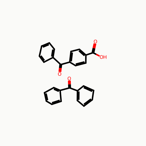 O=C(O)c1ccc(C(=O)c2ccccc2)cc1.O=C(c1ccccc1)c1ccccc1